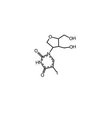 O=c1[nH]c(=O)n(C2COC(CO)C2CO)cc1I